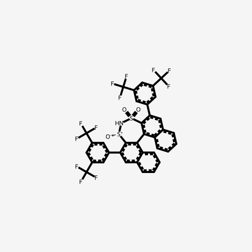 O=S1(=O)N[S@@+]([O-])c2c(-c3cc(C(F)(F)F)cc(C(F)(F)F)c3)cc3ccccc3c2-c2c1c(-c1cc(C(F)(F)F)cc(C(F)(F)F)c1)cc1ccccc21